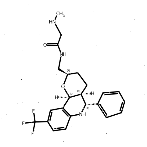 CNCC(=O)NC[C@H]1CC[C@@H]2[C@H](O1)c1cc(C(F)(F)F)ccc1N[C@H]2c1ccccc1